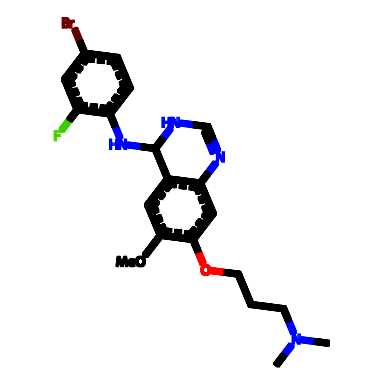 COc1cc2c(cc1OCCCN(C)C)N=CNC2Nc1ccc(Br)cc1F